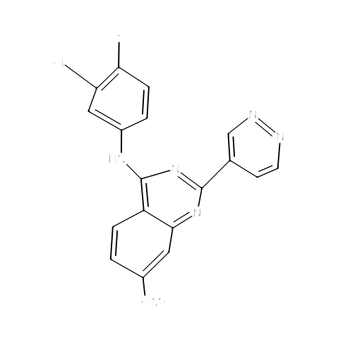 COc1ccc2c(Nc3ccc(F)c(Cl)c3)nc(-c3ccnnc3)nc2c1